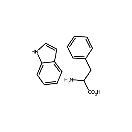 NC(Cc1ccccc1)C(=O)O.c1ccc2[nH]ccc2c1